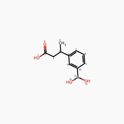 CC(CC(=O)O)c1cccc(B(O)O)c1